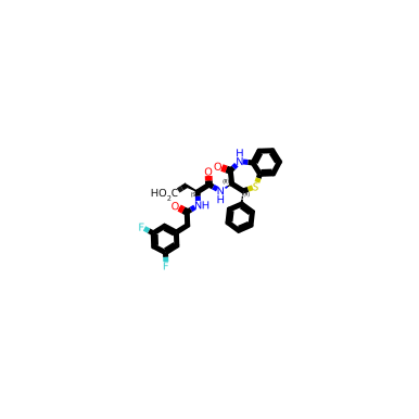 O=C(O)C[C@H](NC(=O)Cc1cc(F)cc(F)c1)C(=O)N[C@@H]1C(=O)Nc2ccccc2S[C@@H]1c1ccccc1